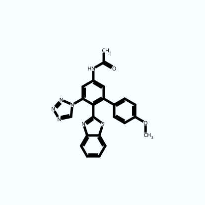 COc1ccc(-c2cc(NC(C)=O)cc(-n3cnnn3)c2-c2nc3ccccc3s2)cc1